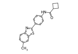 Cc1ccc2nc(-c3ccc(NC(=O)C4CCC4)cc3)sc2c1